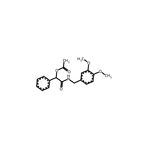 COc1ccc(CNC(=O)C(OC(C)=O)c2ccccc2)cc1OC